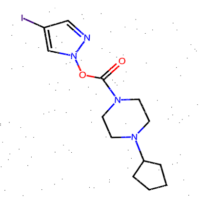 O=C(On1cc(I)cn1)N1CCN(C2CCCC2)CC1